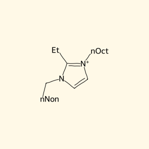 CCCCCCCCCCn1cc[n+](CCCCCCCC)c1CC